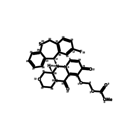 COC(=O)OCOc1c2n(ccc1=O)N([C@H]1c3cc(F)ccc3C[Se]c3ccccc31)[C@@H]1COCCN1C2=O